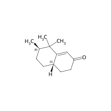 C[C@@H]1CC[C@H]2CCC(=O)C=C2C1(C)C